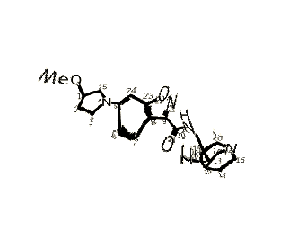 COC1CCN(c2ccc3c(C(=O)N[C@@H]4CN5CCC4CC5)noc3c2)C1